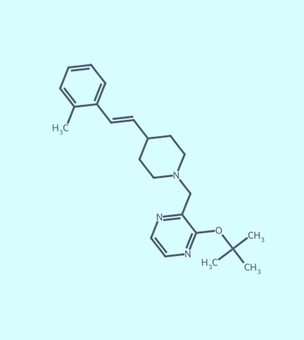 Cc1ccccc1C=CC1CCN(Cc2nccnc2OC(C)(C)C)CC1